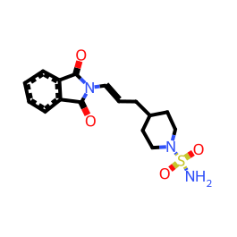 NS(=O)(=O)N1CCC(CC=CN2C(=O)c3ccccc3C2=O)CC1